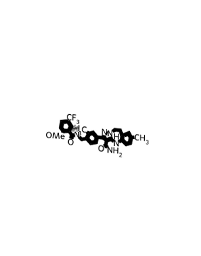 COc1ccc(C(F)(F)F)cc1C(=O)NCc1ccc(-c2nn3c(c2C(N)=O)Nc2ccc(C)cc2CC3)cc1C